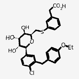 CCOc1ccc(Cc2cc([C@@H]3O[C@H](CSc4cccc(CC(=O)O)c4)[C@H](O)[C@@H](O)[C@H]3O)ccc2Cl)cc1